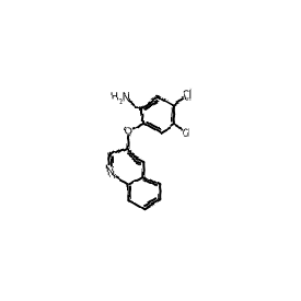 Nc1cc(Cl)c(Cl)cc1Oc1cnc2ccccc2c1